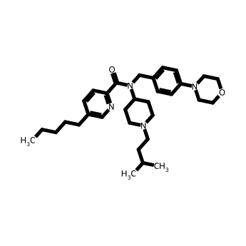 CCCCCc1ccc(C(=O)N(Cc2ccc(N3CCOCC3)cc2)C2CCN(CCC(C)C)CC2)nc1